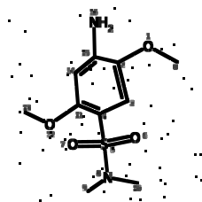 COc1cc(S(=O)(=O)N(C)C)c(OC)cc1N